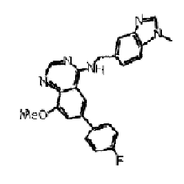 COc1cc(-c2ccc(F)cc2)cc2c(NCc3ccc4c(c3)ncn4C)ncnc12